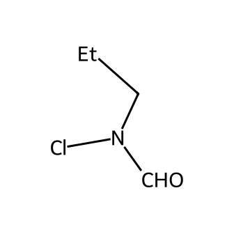 CCCN(Cl)C=O